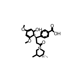 COC1=CC(O)[C@@H](C(CC(=O)N2CC(C)C[C@@H](C)C2)c2ccc(C(=O)O)cc2)C(OC)=C1